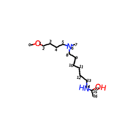 COCCCCN(C)CCCCCCNC(C)O